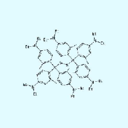 CCN(CC)c1ccc(C(SSC(c2ccc(N(CC)CC)cc2C)(c2ccc(N(CC)CC)cc2C)c2ccc(N(CC)CC)cc2C)(c2ccc(N(CC)CC)cc2C)c2ccc(N(CC)CC)cc2C)c(C)c1